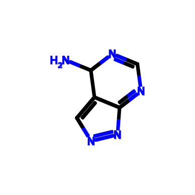 NC1N=CN=C2N=NC=C21